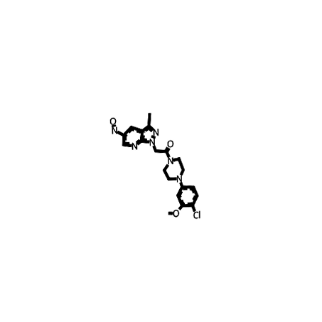 COc1cc(N2CCN(C(=O)Cn3nc(C)c4cc(N=O)cnc43)CC2)ccc1Cl